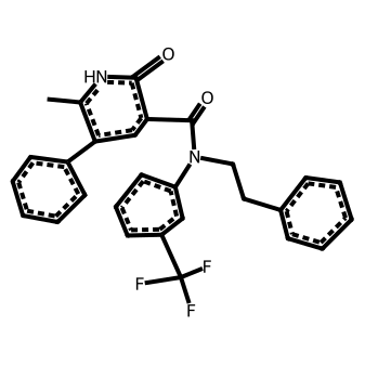 Cc1[nH]c(=O)c(C(=O)N(CCc2ccccc2)c2cccc(C(F)(F)F)c2)cc1-c1ccccc1